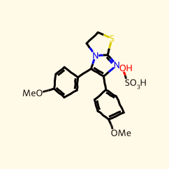 COc1ccc(-c2nc3n(c2-c2ccc(OC)cc2)CCS3)cc1.O=S(=O)(O)O